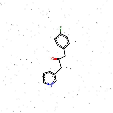 O=C(Cc1ccc(F)cc1)Cc1cccnc1